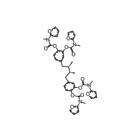 C[C@H](Cc1ccc(OC(=O)N(C)c2ccco2)c(OC(=O)N(C)c2ccco2)c1)[C@@H](C)Cc1ccc(OC(=O)N(C)c2ccco2)c(OC(=O)N(C)c2ccco2)c1